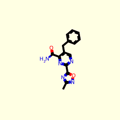 Cc1noc(-c2ncc(Cc3ccccc3)c(C(N)=O)n2)n1